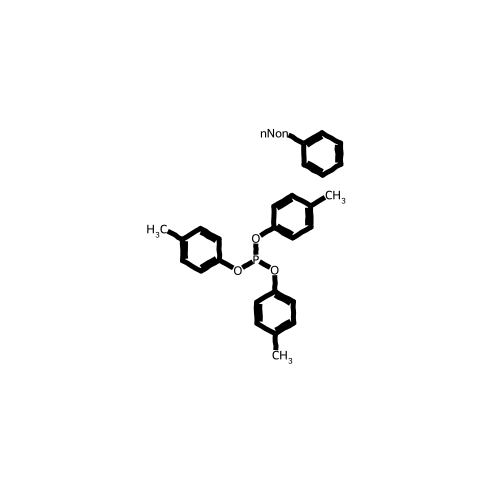 CCCCCCCCCc1ccccc1.Cc1ccc(OP(Oc2ccc(C)cc2)Oc2ccc(C)cc2)cc1